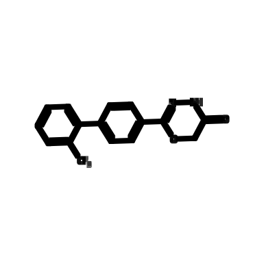 O=C1COC(c2ccc(-c3ccccc3C(F)(F)F)cc2)=NN1